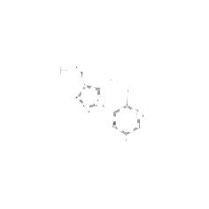 Cc1ncccc1-n1ncc(N)c1C